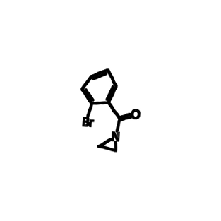 O=C(c1ccccc1Br)N1CC1